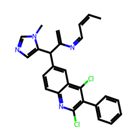 C=C(/N=C\C=C/C)C(c1ccc2nc(Cl)c(-c3ccccc3)c(Cl)c2c1)c1cncn1C